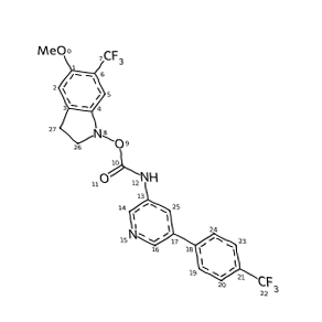 COc1cc2c(cc1C(F)(F)F)N(OC(=O)Nc1cncc(-c3ccc(C(F)(F)F)cc3)c1)CC2